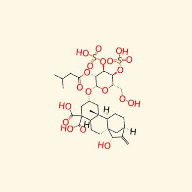 C=C1[C@@H]2CC[C@@H]3[C@@]4(C)C[C@@H](O[C@H]5O[C@@H](COO)[C@H](OS(=O)(=O)O)[C@H](OS(=O)(=O)O)[C@H]5OC(=O)CC(C)C)CC(C(=O)O)(C(=O)O)[C@@H]4CC[C@]3(C2)[C@H]1O